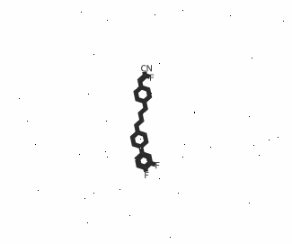 N#CC(F)=CC1CCC(CCCCC2CCC(c3ccc(F)c(F)c3)CC2)CC1